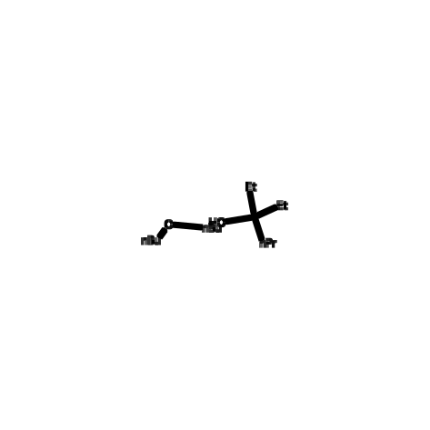 CCCC(O)(CC)CC.CCCCOCCCC